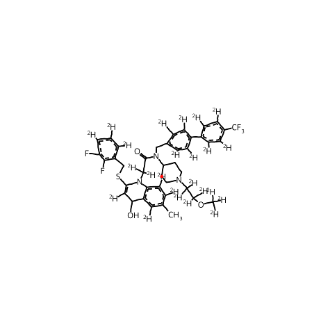 [2H]C1=C(SCc2c([2H])c([2H])c([2H])c(F)c2F)N(C([2H])([2H])C(=O)N(Cc2c([2H])c([2H])c(-c3c([2H])c([2H])c(C(F)(F)F)c([2H])c3[2H])c([2H])c2[2H])C2CCN(C([2H])([2H])C([2H])([2H])OC([2H])([2H])[2H])CC2)c2c([2H])c([2H])c(C)c([2H])c2C1O